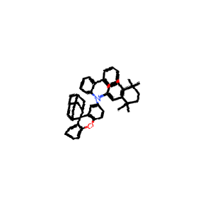 CC1(C)CCC(C)(C)c2cc(N(c3ccc4c(c3)C3(c5ccccc5O4)C4CC5CC(C4)CC3C5)c3ccccc3-c3ccccc3)ccc21